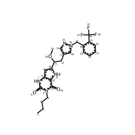 CCCCn1c(=O)[nH]c2cc(C(Cc3cnn(Cc4ccccc4C(F)(F)F)c3)OC)[nH]c2c1=O